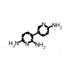 Nc1ccc(-c2ccc(N)nc2N)cn1